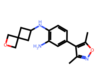 Cc1noc(C)c1-c1ccc(NC2CC3(COC3)C2)c(N)c1